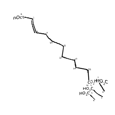 CC(=O)O.CC(=O)O.CC(=O)O.CCCCCCCCC=CCCCCCCCC(=O)O